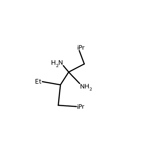 CCC(CC(C)C)C(N)(N)CC(C)C